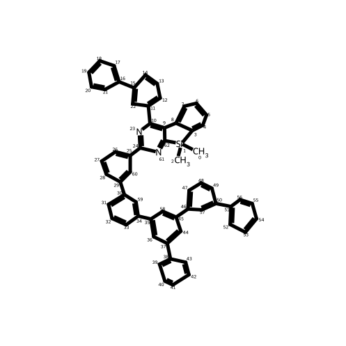 C[Si]1(C)c2ccccc2-c2c(-c3cccc(-c4ccccc4)c3)nc(-c3cccc(-c4cccc(-c5cc(-c6ccccc6)cc(-c6cccc(-c7ccccc7)c6)c5)c4)c3)nc21